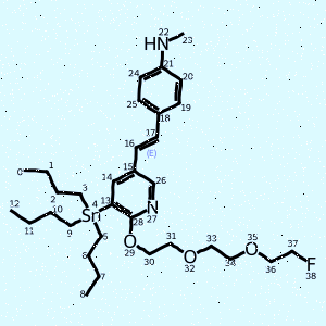 CCC[CH2][Sn]([CH2]CCC)([CH2]CCC)[c]1cc(/C=C/c2ccc(NC)cc2)cnc1OCCOCCOCCF